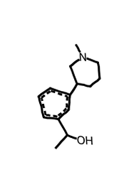 CC(O)c1cccc(C2CCCN(C)C2)c1